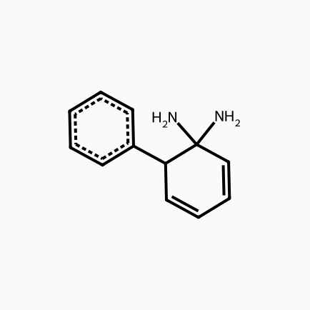 NC1(N)C=CC=CC1c1ccccc1